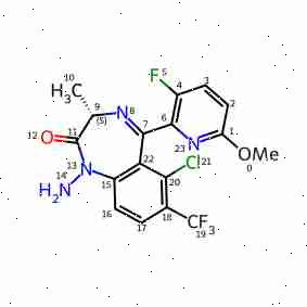 COc1ccc(F)c(C2=N[C@@H](C)C(=O)N(N)c3ccc(C(F)(F)F)c(Cl)c32)n1